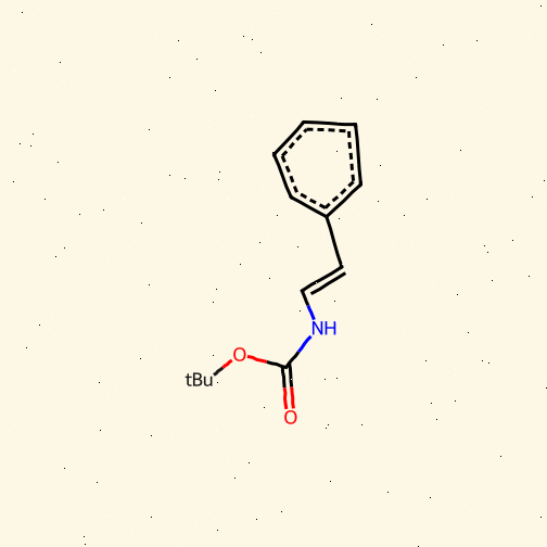 CC(C)(C)OC(=O)NC=Cc1ccccc1